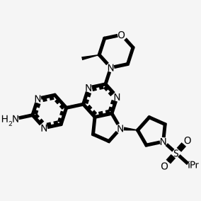 CC(C)S(=O)(=O)N1CC[C@H](N2CCc3c(-c4cnc(N)nc4)nc(N4CCOC[C@@H]4C)nc32)C1